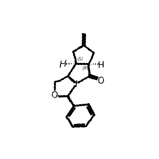 C=C1C[C@@H]2C3COC(c4ccccc4)I3C(=O)[C@@H]2C1